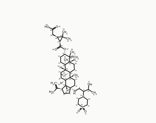 C=C(C)[C@@H]1CC[C@]2(NCC(C(C)O)N3CCS(=O)(=O)CC3)CC[C@]3(C)[C@H](CC[C@@H]4[C@@]5(C)CC[C@H](OC(=O)[C@H]6[C@@H](CC(=O)O)C6(C)C)C(C)(C)[C@@H]5CC[C@]43C)[C@@H]12